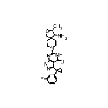 C[C@@H]1OCC2(CCN(c3nc4[nH]nc(C5(c6cccc(F)c6)CC5)c4c(=O)[nH]3)CC2)[C@@H]1N